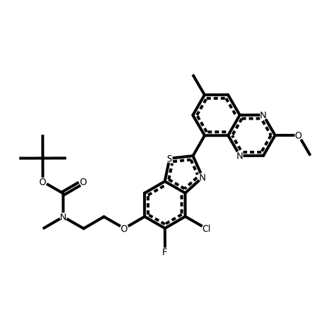 COc1cnc2c(-c3nc4c(Cl)c(F)c(OCCN(C)C(=O)OC(C)(C)C)cc4s3)cc(C)cc2n1